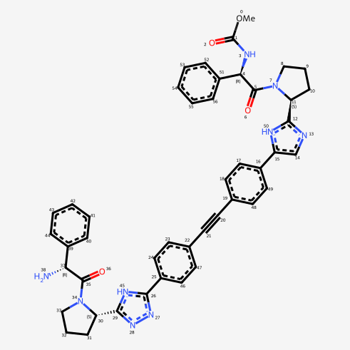 COC(=O)N[C@@H](C(=O)N1CCC[C@H]1c1ncc(-c2ccc(C#Cc3ccc(-c4nnc([C@@H]5CCCN5C(=O)[C@H](N)c5ccccc5)[nH]4)cc3)cc2)[nH]1)c1ccccc1